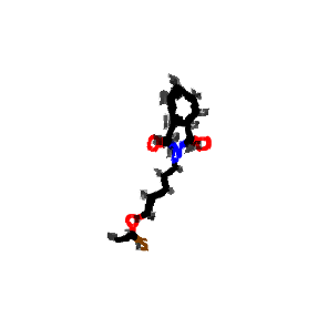 CC(=S)OCCCCCN1C(=O)c2ccccc2C1=O